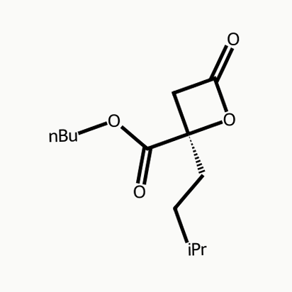 CCCCOC(=O)[C@@]1(CCC(C)C)CC(=O)O1